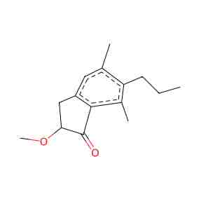 CCCc1c(C)cc2c(c1C)C(=O)C(OC)C2